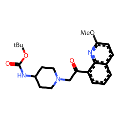 COc1ccc2cccc(C(=O)CN3CCC(NC(=O)OC(C)(C)C)CC3)c2n1